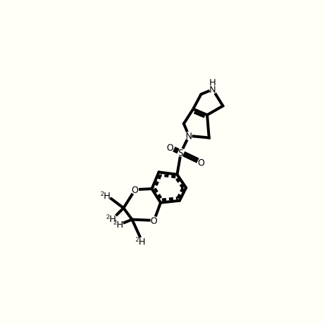 [2H]C1([2H])Oc2ccc(S(=O)(=O)N3CC4=C(CNC4)C3)cc2OC1([2H])[2H]